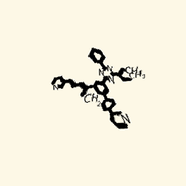 C=C/C(=C\C=C\c1cccnc1)c1cc(-c2ccc(-c3cccnc3)cc2)cc(-c2nc(C(/C=C\C)=C/C)nc(-c3ccccc3)n2)c1